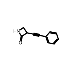 O=C1NCC1C#Cc1ccccc1